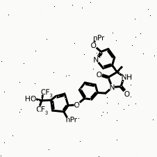 CCCOc1ccc(C2(C)NC(=O)N(Cc3cccc(Oc4ccc(C(O)(C(F)(F)F)C(F)(F)F)cc4CCC)c3)C2=O)cn1